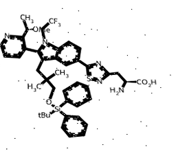 CO[C@@H](C)c1ncccc1-c1c(CC(C)(C)CO[Si](c2ccccc2)(c2ccccc2)C(C)(C)C)c2cc(-c3nc(C[C@H](N)C(=O)O)ns3)ccc2n1CC(F)(F)F